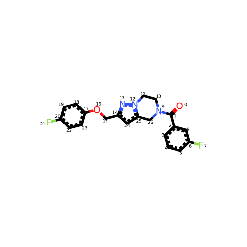 O=C(c1cccc(F)c1)N1CCn2nc(COc3ccc(F)cc3)cc2C1